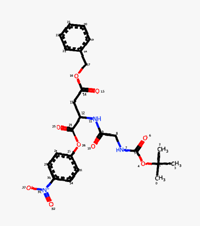 CC(C)(C)OC(=O)NCC(=O)NC(CC(=O)OCc1ccccc1)C(=O)Oc1ccc([N+](=O)[O-])cc1